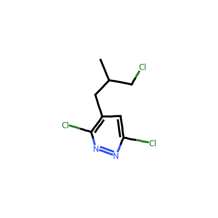 CC(CCl)Cc1cc(Cl)nnc1Cl